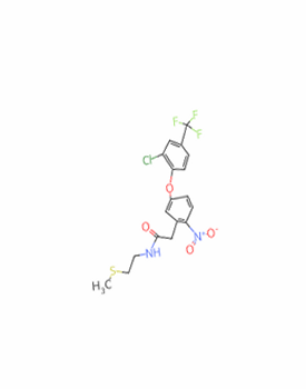 CSCCNC(=O)Cc1cc(Oc2ccc(C(F)(F)F)cc2Cl)ccc1[N+](=O)[O-]